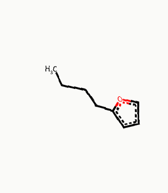 CCCCc1[c]cco1